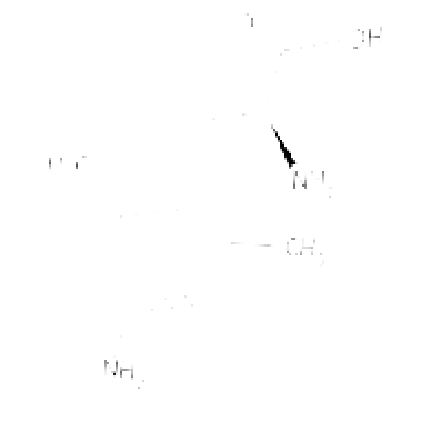 Cc1cc(N)cc(C)c1C[C@H](N)C(=O)O